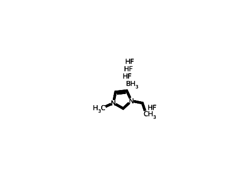 B.CCN1C=CN(C)C1.F.F.F.F